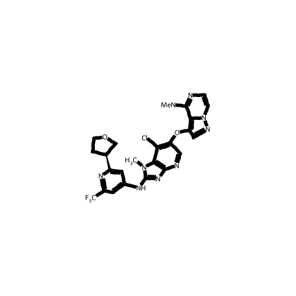 CNc1nccn2ncc(Oc3cnc4nc(Nc5cc([C@H]6CCOC6)nc(C(F)(F)F)c5)n(C)c4c3Cl)c12